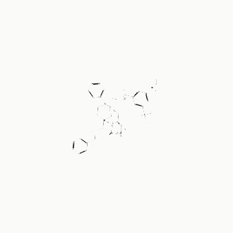 C[C@@H](OC[C@@]1(c2ccccc2)CCC2(COCc3ccccc3)CN1Cc1n[nH]c(=O)n12)c1cc(C(F)(F)F)cc(C(F)(F)F)c1